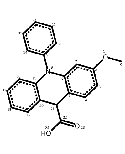 COc1ccc2c(c1)N(c1ccccc1)c1ccccc1C2C(=O)O